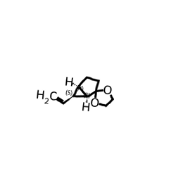 C=C[C@H]1[C@H]2CCC3(OCCO3)[C@@H]12